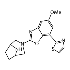 COc1cc(-c2nccs2)c2oc(N3CC4CCC(C3)N4)nc2c1